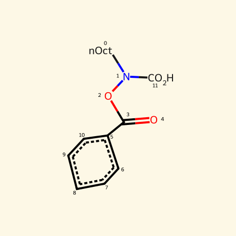 CCCCCCCCN(OC(=O)c1ccccc1)C(=O)O